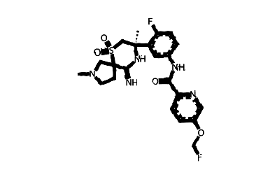 CN1CCC2(C1)C(=N)N[C@](C)(c1cc(NC(=O)c3ccc(OCF)cn3)ccc1F)CS2(=O)=O